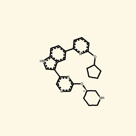 c1cc(OC2CCCC2)nc(-c2ccc3[nH]cc(-c4cncc(O[C@@H]5CCCNC5)n4)c3c2)c1